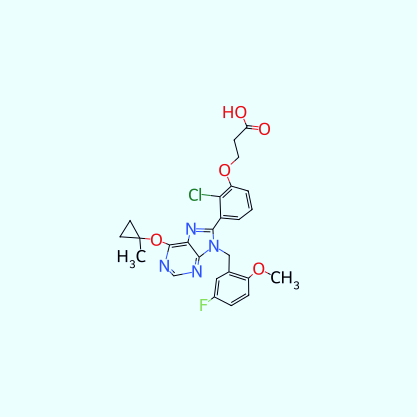 COc1ccc(F)cc1Cn1c(-c2cccc(OCCC(=O)O)c2Cl)nc2c(OC3(C)CC3)ncnc21